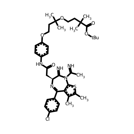 CC(=N)N1C(=N)[C@H](CC(=O)Nc2ccc(OCCC(C)(C)OCCC(C)(C)C(=O)OC(C)(C)C)cc2)N=C(c2ccc(Cl)cc2)c2c1sc(C)c2C